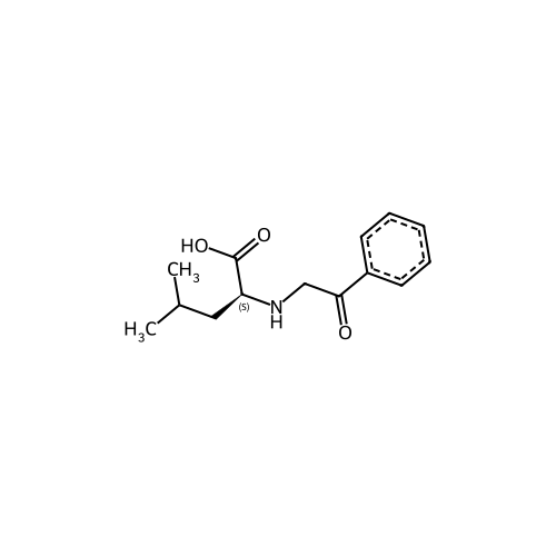 CC(C)C[C@H](NCC(=O)c1ccccc1)C(=O)O